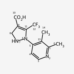 Cc1nccc(N2NCC(C(=O)O)=C2C(F)(F)F)c1C